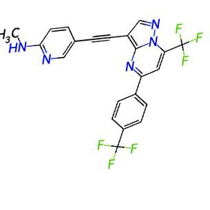 CNc1ccc(C#Cc2cnn3c(C(F)(F)F)cc(-c4ccc(C(F)(F)F)cc4)nc23)cn1